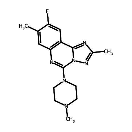 Cc1nc2c3cc(F)c(C)cc3nc(N3CCN(C)CC3)n2n1